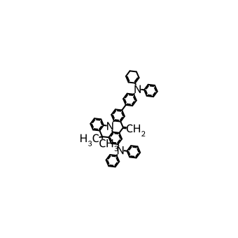 C=C1c2cc(-c3ccc(N(C4=CCCC=C4)c4ccccc4)cc3)ccc2N2c3ccccc3C(C)(C)c3cc(N(c4ccccc4)c4ccccc4)cc1c32